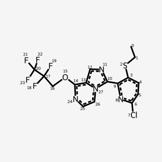 CCSc1ccc(Cl)nc1-c1ncc2c(OCC(F)(F)C(F)(F)F)nccn12